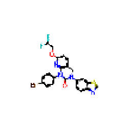 O=C1N(c2ccc3ncsc3c2)Cc2ccc(OCC(F)F)nc2N1c1ccc(Br)cc1